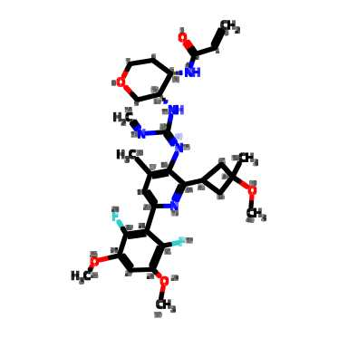 C=CC(=O)N[C@H]1CCOC[C@H]1N/C(N=C)=N/c1c(C)cc(-c2c(F)c(OC)cc(OC)c2F)nc1C1CC(C)(OC)C1